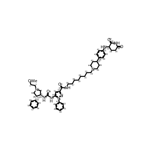 COCCN1C[C@@H](NC(=O)Nc2cc(C(=O)NCCCCCCCCN3CCC(c4ccc(NC5CCC(=O)NC5=O)cc4)CC3)nn2-c2ccccc2)[C@H](c2ccccc2)C1